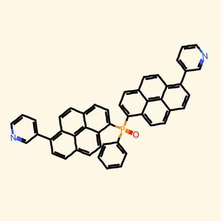 O=P(c1ccccc1)(c1ccc2ccc3c(-c4cccnc4)ccc4ccc1c2c43)c1ccc2ccc3c(-c4cccnc4)ccc4ccc1c2c43